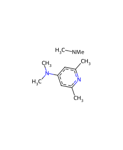 CNC.Cc1cc(N(C)C)cc(C)n1